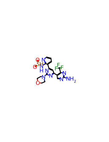 Nc1ncc(-c2cc(-c3cccnc3N[SH](=O)=O)nc(N3CCOCC3)n2)c(C(F)(F)F)n1